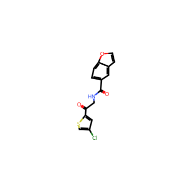 O=C(NCC(=O)c1cc(Cl)cs1)c1ccc2occc2c1